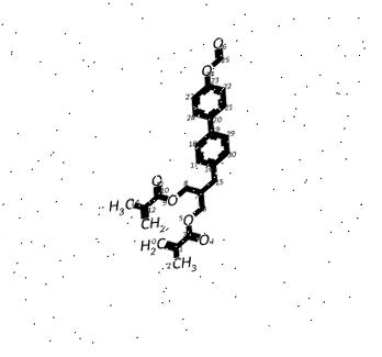 C=C(C)C(=O)OCC(COC(=O)C(=C)C)Cc1ccc(-c2ccc(OC=O)cc2)cc1